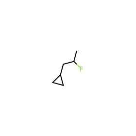 [CH2]C(F)CC1CC1